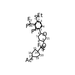 CCSc1ccc(C2CCC(OC(F)(F)C3CCC(C(C)=O)CC3)CO2)c(F)c1C(F)F